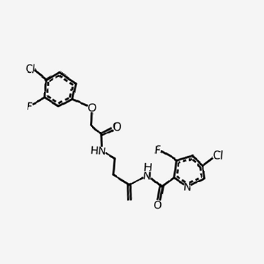 C=C(CCNC(=O)COc1ccc(Cl)c(F)c1)NC(=O)c1ncc(Cl)cc1F